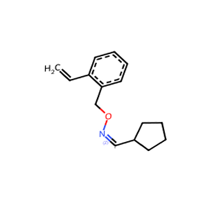 C=Cc1ccccc1CO/N=[C]\C1CCCC1